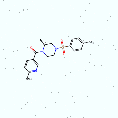 CNc1ccc(C(=O)N2CCN(S(=O)(=O)c3ccc(C(F)(F)F)cc3)C[C@@H]2C)cn1